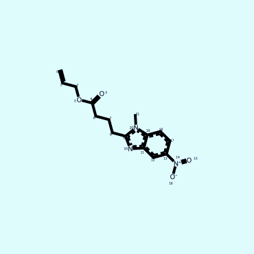 C=CCOC(=O)CCCc1nc2cc([N+](=O)[O-])ccc2n1C